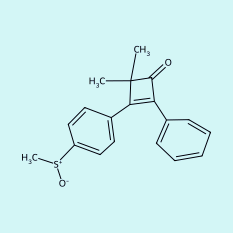 C[S+]([O-])c1ccc(C2=C(c3ccccc3)C(=O)C2(C)C)cc1